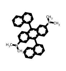 CN(C)c1ccc2c(-c3cccc4ccccc34)c3cc(N(C)C)ccc3c(-c3cccc4ccccc34)c2c1